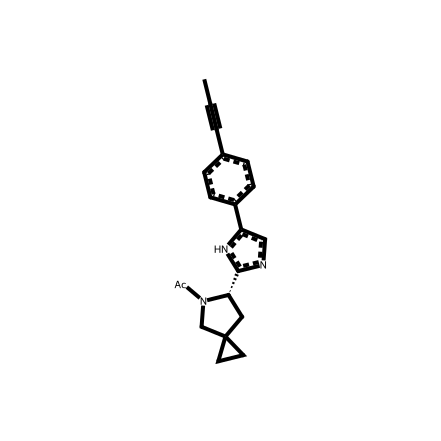 CC#Cc1ccc(-c2cnc([C@@H]3CC4(CC4)CN3C(C)=O)[nH]2)cc1